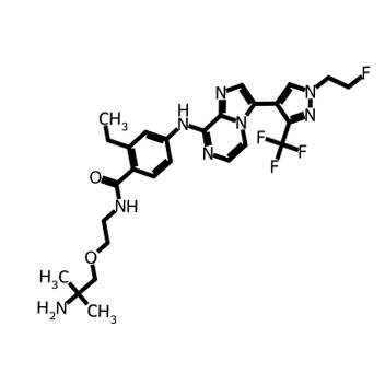 CCc1cc(Nc2nccn3c(-c4cn(CCF)nc4C(F)(F)F)cnc23)ccc1C(=O)NCCOCC(C)(C)N